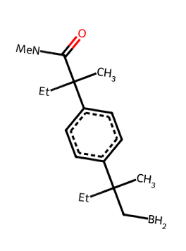 BCC(C)(CC)c1ccc(C(C)(CC)C(=O)NC)cc1